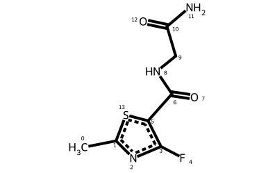 Cc1nc(F)c(C(=O)NCC(N)=O)s1